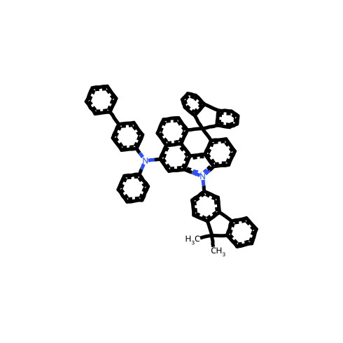 CC1(C)c2ccccc2-c2cc(-n3c4cccc5c4c4c6c(cccc6c(N(c6ccccc6)c6ccc(-c7ccccc7)cc6)cc43)C53c4ccccc4-c4ccccc43)ccc21